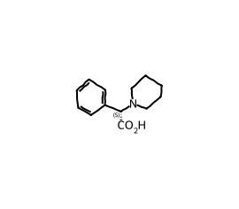 O=C(O)[C@H](c1ccccc1)N1CCCCC1